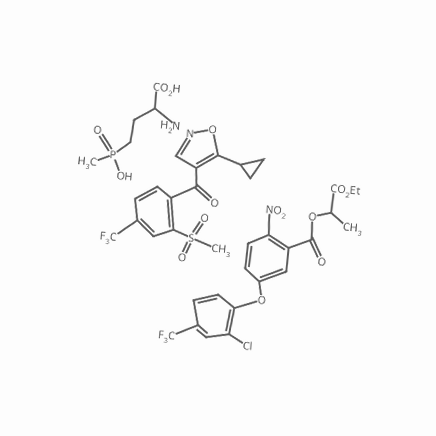 CCOC(=O)C(C)OC(=O)c1cc(Oc2ccc(C(F)(F)F)cc2Cl)ccc1[N+](=O)[O-].CP(=O)(O)CCC(N)C(=O)O.CS(=O)(=O)c1cc(C(F)(F)F)ccc1C(=O)c1cnoc1C1CC1